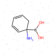 NC1(B(O)O)C=CC=CC1